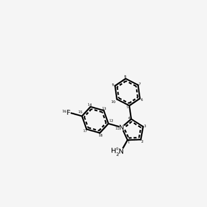 Nc1ccc(-c2ccccc2)n1-c1ccc(F)cc1